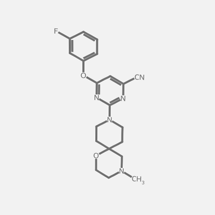 CN1CCOC2(CCN(c3nc(C#N)cc(Oc4cccc(F)c4)n3)CC2)C1